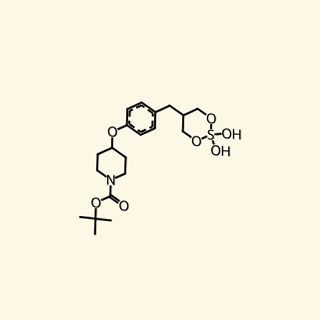 CC(C)(C)OC(=O)N1CCC(Oc2ccc(CC3COS(O)(O)OC3)cc2)CC1